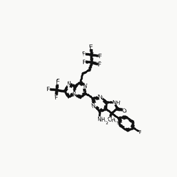 CC1(c2ccc(F)cc2)C(=O)Nc2nc(-c3cn4cc(C(F)(F)F)nc4c(CCC(F)(F)C(F)(F)F)n3)nc(N)c21